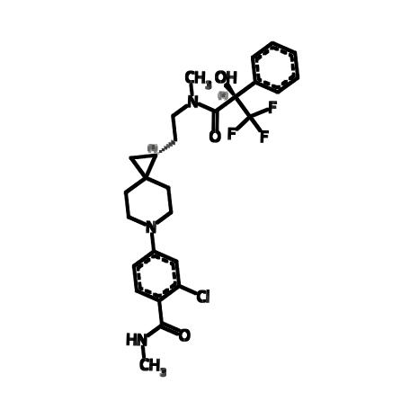 CNC(=O)c1ccc(N2CCC3(CC2)C[C@@H]3CCN(C)C(=O)[C@](O)(c2ccccc2)C(F)(F)F)cc1Cl